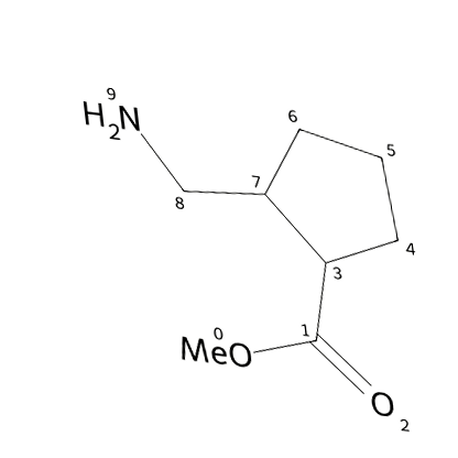 COC(=O)C1CCCC1CN